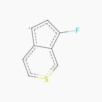 Fc1c[c]c2ccscc1-2